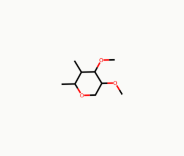 COC1COC(C)C(C)C1OC